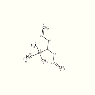 C=CCC(CC=C)[N+](C)(C)C.[Cl-]